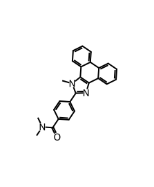 CN(C)C(=O)c1ccc(-c2nc3c4ccccc4c4ccccc4c3n2C)cc1